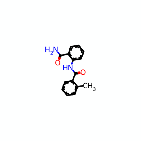 Cc1ccccc1C(=O)Nc1ccccc1C(N)=O